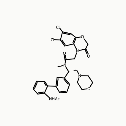 CC(=O)Nc1ccccc1-c1cccc([C@@H](CN2CCOCC2)N(C)C(=O)CN2C(=O)COc3cc(Cl)c(Cl)cc32)c1